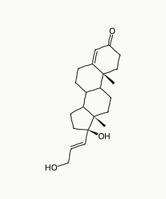 C[C@]12CCC(=O)C=C1CCC1C2CC[C@@]2(C)C1CC[C@@]2(O)C=CCO